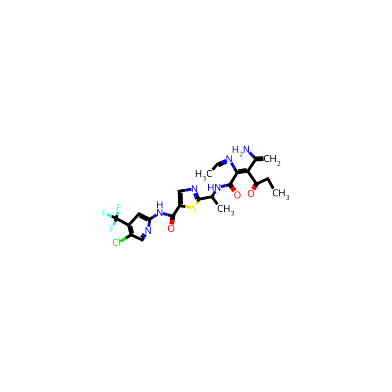 C=C(N)/C(C(=O)CC)=C(\N=C/C)C(=O)NC(C)c1ncc(C(=O)Nc2cc(C(F)(F)F)c(Cl)cn2)s1